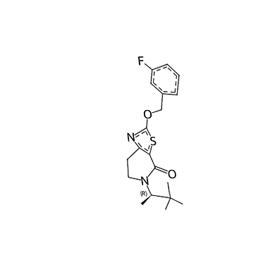 C[C@@H](N1CCc2nc(OCc3cccc(F)c3)sc2C1=O)C(C)(C)C